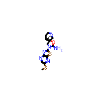 CSc1cnc2nc(N3CC4(CN5CCC4CC5)OC3N)sc2n1